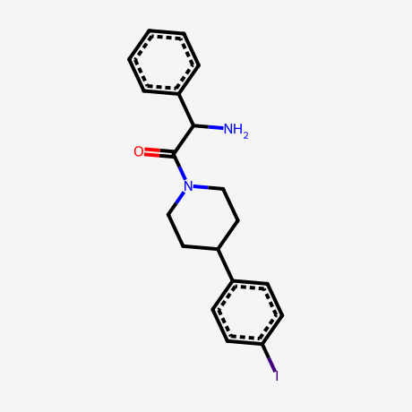 NC(C(=O)N1CCC(c2ccc(I)cc2)CC1)c1ccccc1